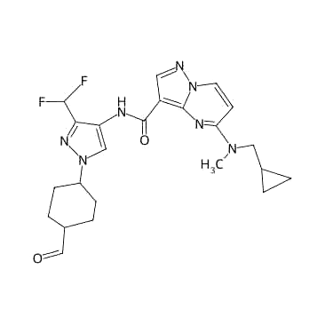 CN(CC1CC1)c1ccn2ncc(C(=O)Nc3cn(C4CCC(C=O)CC4)nc3C(F)F)c2n1